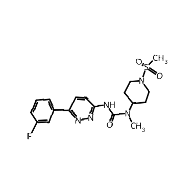 CN(C(=O)Nc1ccc(-c2cccc(F)c2)nn1)C1CCN(S(C)(=O)=O)CC1